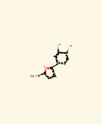 O=[C]c1ccc(-c2ccc(F)c(F)c2)o1